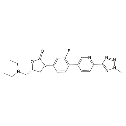 CCN(CC)C[C@H]1CN(c2ccc(-c3ccc(-c4nnn(C)n4)nc3)c(F)c2)C(=O)O1